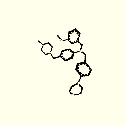 COc1cccc(CN(Cc2ccc(N3CCOCC3)cc2)c2ccc(CN3CCN(C)CC3)cc2)c1